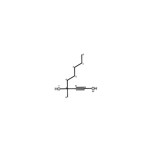 CCCCCC(C)(O)C#CO